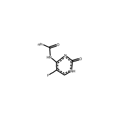 CCCC(=O)Nc1nc(=O)[nH]cc1F